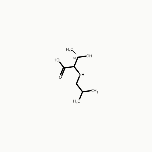 CC(C)CNC(C(=O)O)[C@H](C)O